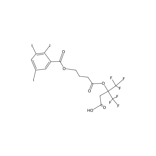 O=C(O)CC(OC(=O)CCCOC(=O)c1cc(I)cc(I)c1I)(C(F)(F)F)C(F)(F)F